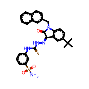 CC(C)(C)c1ccc2c(c1)C(=NNC(=S)Nc1cccc(S(N)(=O)=O)c1)C(=O)N2Cc1ccc2ccccc2c1